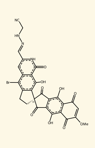 COC1=CC(=O)c2c(O)c3c(c(O)c2C1=O)C(=O)[C@]1(CCc2c1c(O)c1c(=O)[nH]c(C=NNCC#N)cc1c2Br)C3=O